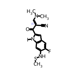 CSNc1cc2c(cc1F)cc(C(=O)/C(C#N)=C/N(C)C)n2I